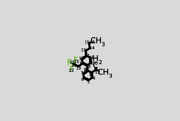 C=C(C)c1ccccc1-c1ccc(CCCC)cc1CC(F)(F)F